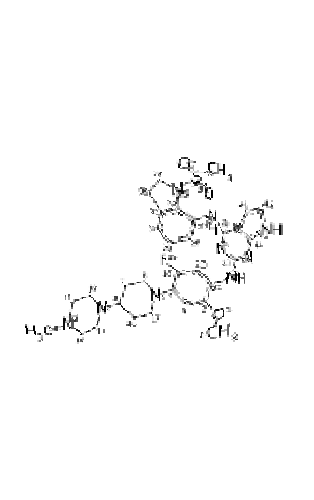 COc1cc(N2CCC(N3CCN(C)CC3)CC2)c(F)cc1Nc1nc(Nc2cccc3c2N(S(C)(=O)=O)CC3)c2cc[nH]c2n1